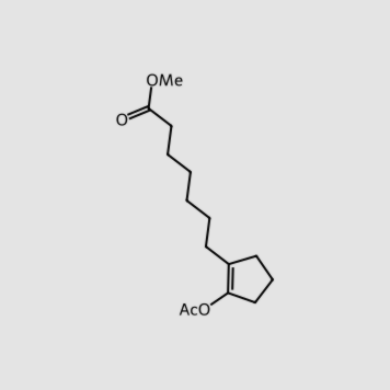 COC(=O)CCCCCCC1=C(OC(C)=O)CCC1